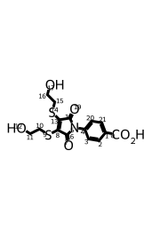 O=C(O)c1ccc(N2C(=O)C(SCCO)=C(SCCO)C2=O)cc1